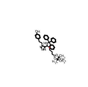 CC1(C)OB(CCCCC(NC(c2ccccc2)(c2ccccc2)c2ccccc2)c2nnnn2CCc2ccc(O)cc2)OC1(C)C